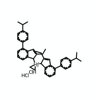 CCC1=Cc2c(-c3ccc(C(C)C)cc3)cccc2[CH]1[Hf]1([CH]2C(CC)=Cc3c(-c4ccc(C(C)C)cc4)cccc32)[CH2][CH2]1.Cl.Cl